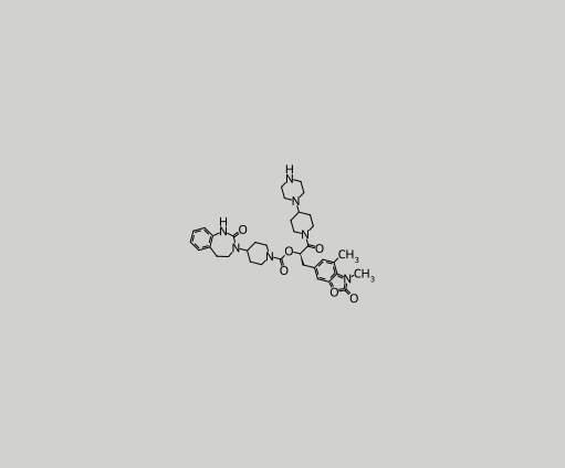 Cc1cc(C[C@@H](OC(=O)N2CCC(N3CCc4ccccc4NC3=O)CC2)C(=O)N2CCC(N3CCNCC3)CC2)cc2oc(=O)n(C)c12